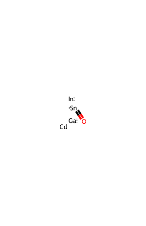 [Cd].[Ga].[In].[O]=[Sn]